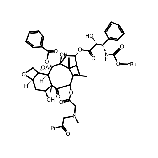 CC(=O)O[C@@]12CO[C@@H]1C[C@H](O)[C@@]1(C)C(=O)[C@H](OC(=O)CN(C)CC(=O)C(C)C)C3=C(C)C4[C@@H](OC(=O)[C@H](O)[C@@H](NC(=O)OC(C)(C)C)c5ccccc5)C[C@@](O)([C@@H](OC(=O)c5ccccc5)[C@H]21)C34C